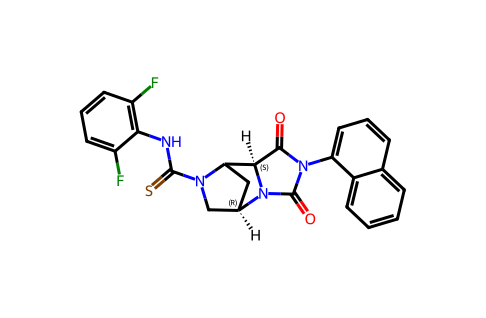 O=C1[C@@H]2C3C[C@H](CN3C(=S)Nc3c(F)cccc3F)N2C(=O)N1c1cccc2ccccc12